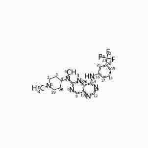 CN1CCC(N(C)c2ncc3ncnc(Nc4cccc(C(F)(F)F)c4)c3n2)CC1